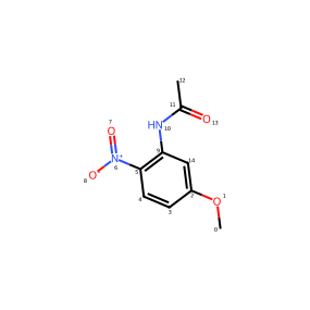 COc1ccc([N+](=O)[O-])c(NC(C)=O)c1